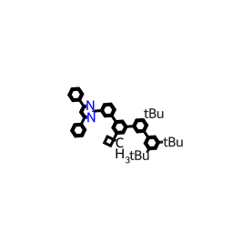 CC(C)(C)c1cc(-c2cc(C(C)(C)C)cc(C(C)(C)C)c2)cc(-c2cc(-c3cccc(-c4nc(-c5ccccc5)cc(-c5ccccc5)n4)c3)cc(C3(C)CCC3)c2)c1